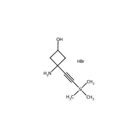 Br.C[Si](C)(C)C#CC1(N)CC(O)C1